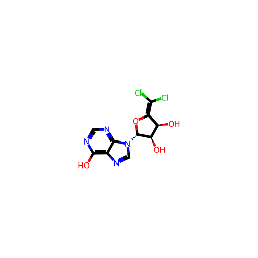 Oc1ncnc2c1ncn2[C@@H]1OC(=C(Cl)Cl)[C@@H](O)[C@H]1O